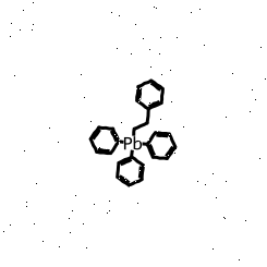 c1ccc(C[CH2][Pb]([c]2ccccc2)([c]2ccccc2)[c]2ccccc2)cc1